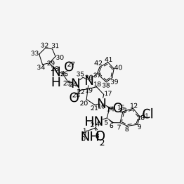 NCC(=O)N[C@H](Cc1ccc(Cl)cc1)C(=O)N1CCC2(CC1)C(=O)N(CC(=O)NC1CCCCC1)CN2c1ccccc1